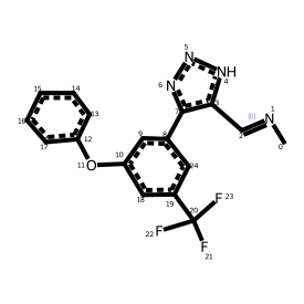 C/N=C/c1[nH]nnc1-c1cc(Oc2ccccc2)cc(C(F)(F)F)c1